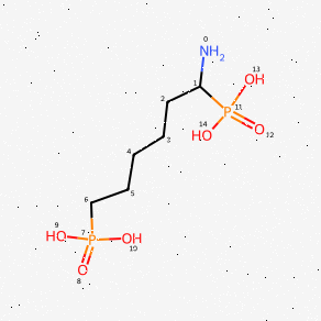 NC(CCCCCP(=O)(O)O)P(=O)(O)O